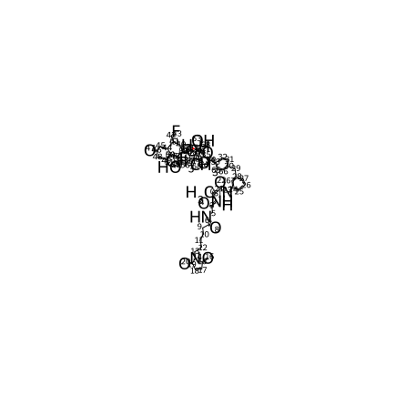 C[C@H](NC(=O)CNC(=O)CCCCCN1C(=O)C=CC1=O)C(=O)Nc1cccc(Cc2ccc([C@@H]3O[C@@H]4CC5[C@@H]6C[C@H](CF)C7=CC(=O)C=C[C@]7(C)[C@@]6(F)[C@@H](O)C[C@]5(C)[C@]4(C(=O)CO)O3)cc2)c1